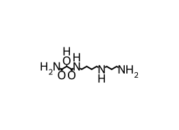 NCCCNCCCCNC(=O)C(O)C(N)=O